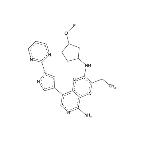 CCc1nc2c(N)ncc(-c3cnn(-c4ncccn4)c3)c2nc1NC1CCC(OF)C1